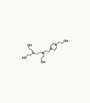 OCCN(CCO)CCN(CCO)CCN1CCN(CCO)CC1